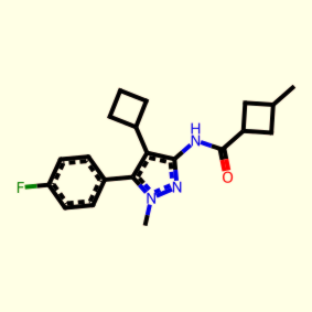 CC1CC(C(=O)Nc2nn(C)c(-c3ccc(F)cc3)c2C2CCC2)C1